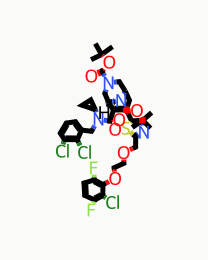 CC(C)(C)OC(=O)N1CC2CC(c3cnc(COCCOc4c(F)ccc(F)c4Cl)s3)=C(C(=O)N(Cc3cccc(Cl)c3Cl)C3CC3)[C@@H](C1)N2C(=O)OC(C)(C)C